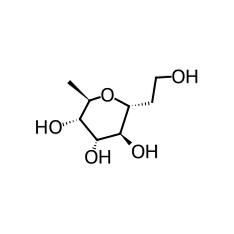 C[C@H]1O[C@H](CCO)[C@@H](O)[C@H](O)[C@@H]1O